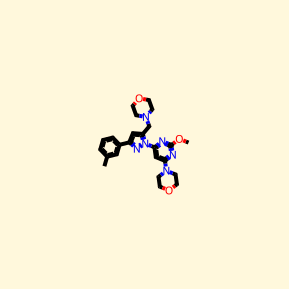 COc1nc(N2CCOCC2)cc(-n2nc(-c3cccc(C)c3)cc2CN2CCOCC2)n1